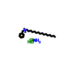 CCCCCCCCCCCCCCCC[N+](C)(C)Cc1ccccc1.Cl.NCl